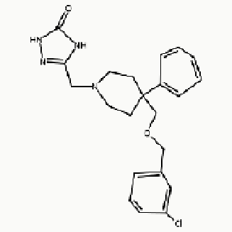 O=c1[nH]nc(CN2CCC(COCc3cccc(Cl)c3)(c3ccccc3)CC2)[nH]1